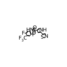 O=S(=O)(Nc1cc(F)c(C(F)(F)F)cc1F)c1c[nH]c(-c2cncs2)c1